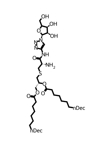 CCCCCCCCCCCCCCCCC(=O)OC[C@H](CSC[C@@H](N)C(=O)Nc1cn([C@H]2OC(CO)[C@@H](O)[C@H]2O)nn1)OC(=O)CCCCCCCCCCCCCCCC